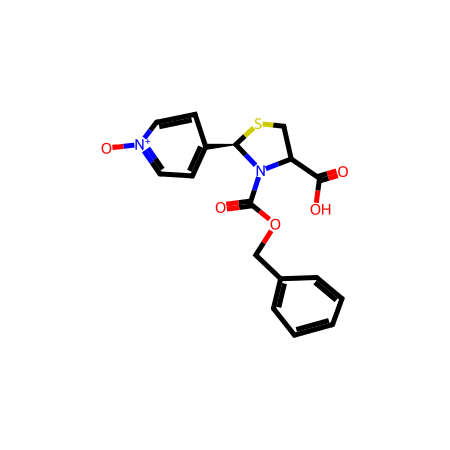 O=C(O)C1CS[C@H](c2cc[n+]([O-])cc2)N1C(=O)OCc1ccccc1